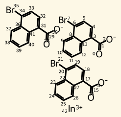 O=C([O-])c1ccc(Br)c2ccccc12.O=C([O-])c1ccc(Br)c2ccccc12.O=C([O-])c1ccc(Br)c2ccccc12.[In+3]